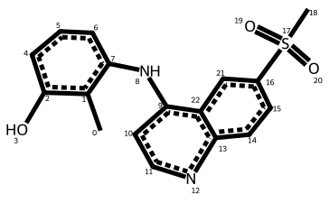 Cc1c(O)cccc1Nc1ccnc2ccc(S(C)(=O)=O)cc12